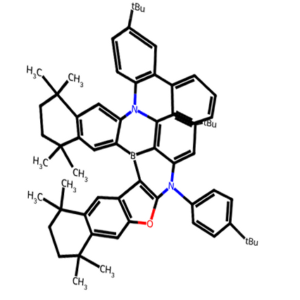 CC(C)(C)c1ccc(N2c3cc(C(C)(C)C)cc4c3B(c3cc5c(cc3N4c3ccc(C(C)(C)C)cc3-c3ccccc3)C(C)(C)CCC5(C)C)c3c2oc2cc4c(cc32)C(C)(C)CCC4(C)C)cc1